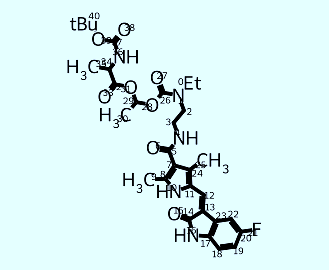 CCN(CCNC(=O)c1c(C)[nH]c(C=C2C(=O)Nc3ccc(F)cc32)c1C)C(=O)OC(C)OC(=O)C(C)NC(=O)OC(C)(C)C